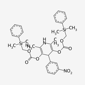 CC1=C(OC(=O)OC[Si](C)(C)c2ccccc2)C(c2cccc([N+](=O)[O-])c2)C(OC(=O)OC[Si](C)(C)c2ccccc2)=C(C)N1